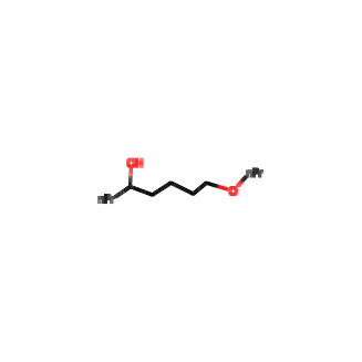 CCCOCCCCC(O)CCC